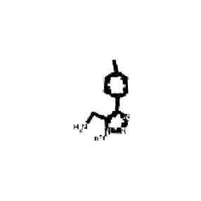 CCCn1nnc(-c2ccc(C)cc2)c1CN